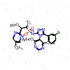 COc1ncnc(OC)c1-n1c(NS(=O)(=O)C(C)C(OC)c2ncc(C)cn2)nnc1-c1cccc(Br)c1